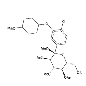 COC1CCC(Oc2cc([C@]3(OC)O[C@H](COC(C)=O)[C@@H](OC(C)=O)[C@H](OC(C)=O)[C@H]3OC(C)=O)ccc2Cl)CC1